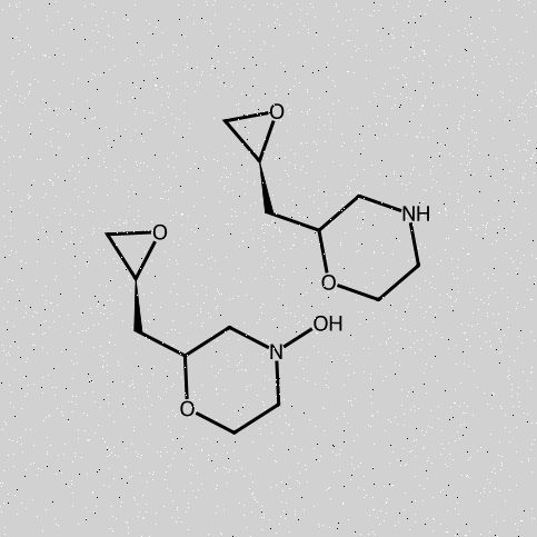 C1COC(C[C@H]2CO2)CN1.ON1CCOC(C[C@H]2CO2)C1